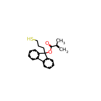 C=C(C)C(=O)OC1(CCCS)c2ccccc2-c2ccccc21